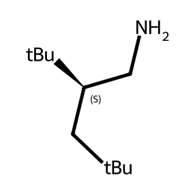 CC(C)(C)C[C@H](CN)C(C)(C)C